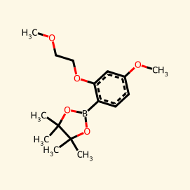 COCCOc1cc(OC)ccc1B1OC(C)(C)C(C)(C)O1